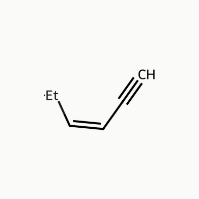 C#C/C=C\[CH]C